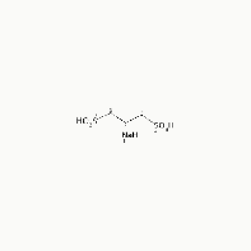 O=S(=O)(O)CCCS(=O)(=O)O.[NaH]